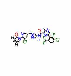 Cc1ncc(-c2c(C(F)F)ccc(Cl)c2F)nc1C(=O)Nc1cnn([C@@H](C)c2cnc(N3C[C@H]4C[C@H]4C3=O)c(Cl)c2)c1